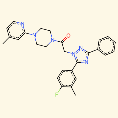 Cc1ccnc(N2CCN(C(=O)Cn3nc(-c4ccccc4)nc3-c3ccc(F)c(C)c3)CC2)c1